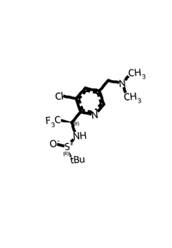 CN(C)Cc1cnc([C@@H](N[S@@+]([O-])C(C)(C)C)C(F)(F)F)c(Cl)c1